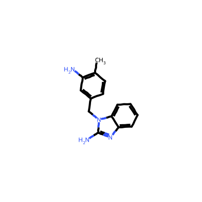 Cc1ccc(Cn2c(N)nc3ccccc32)cc1N